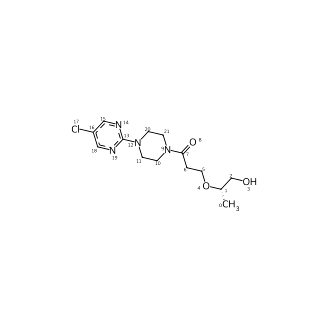 C[C@@H](CO)OCCC(=O)N1CCN(c2ncc(Cl)cn2)CC1